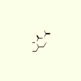 CC(C)CC(CO)N(C)C(=N)NC(=N)N